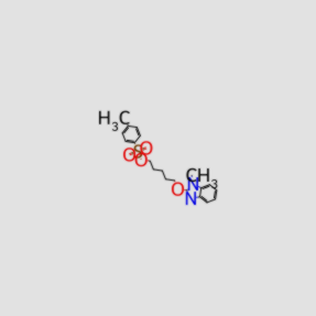 Cc1ccc(S(=O)(=O)OCCCCCOc2nc3ccccc3n2C)cc1